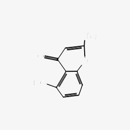 CC(C)(C)c1cc(=O)c2c(O)cccc2o1